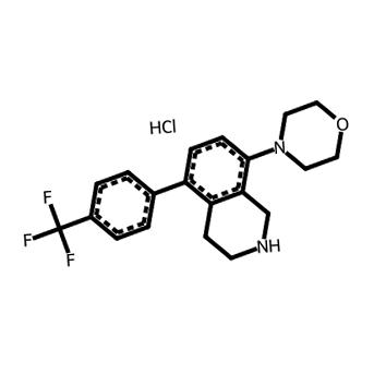 Cl.FC(F)(F)c1ccc(-c2ccc(N3CCOCC3)c3c2CCNC3)cc1